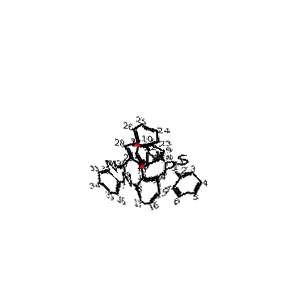 S=P(c1ccccc1)(c1ccccc1)c1cccc2c1c1nc3ccccc3cc1c1nc3ccccc3n21